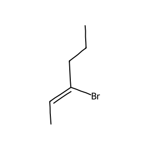 CC=C(Br)CCC